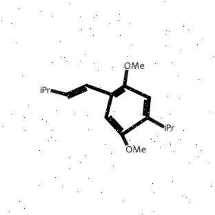 COc1cc(C(C)C)c(OC)cc1/C=C/C(C)C